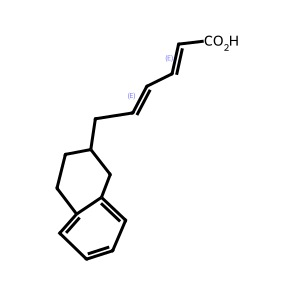 O=C(O)/C=C/C=C/CC1CCc2ccccc2C1